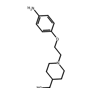 Nc1ccc(OCCN2CCC(CO)CC2)cc1